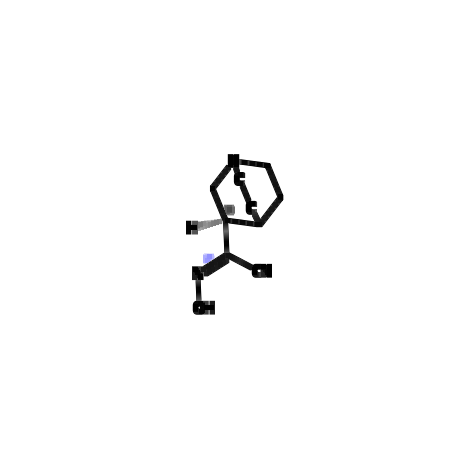 N#C/C(=N\O)[C@H]1CN2CCC1CC2